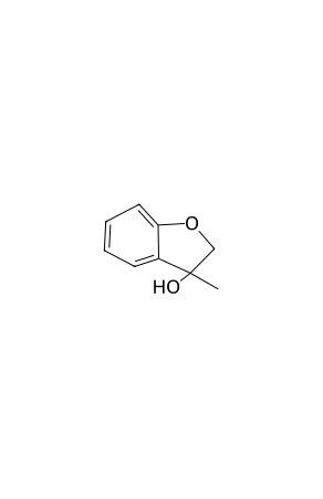 CC1(O)COc2ccccc21